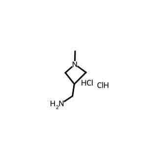 CN1CC(CN)C1.Cl.Cl